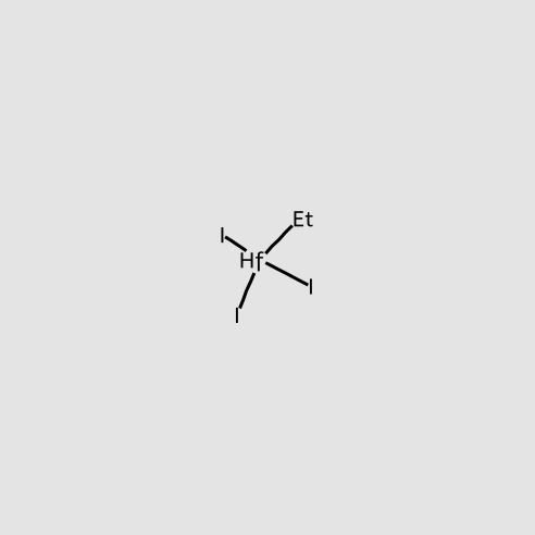 C[CH2][Hf]([I])([I])[I]